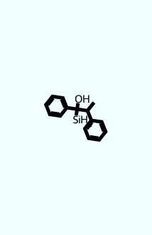 CC(c1ccccc1)C(O)([SiH3])c1ccccc1